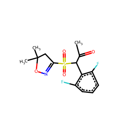 CC(=O)C(c1c(F)cccc1F)S(=O)(=O)C1=NOC(C)(C)C1